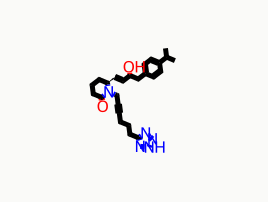 CC(C)c1ccc(CC(O)/C=C/[C@H]2CCCC(=O)N2CC#CCCCc2nn[nH]n2)cc1